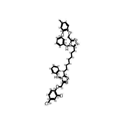 Cc1ccc(OCc2nnc(CCCCCCCCc3nnc(COc4ccc(Cl)cc4Cl)n3Nc3ccccc3)n2Nc2ccccc2)c(Cl)c1